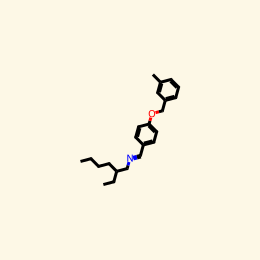 CCCCC(CC)CN=Cc1ccc(OCc2cccc(C)c2)cc1